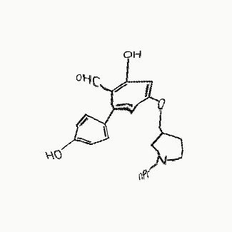 CCCN1CCC(Oc2cc(O)c(C=O)c(-c3ccc(O)cc3)c2)C1